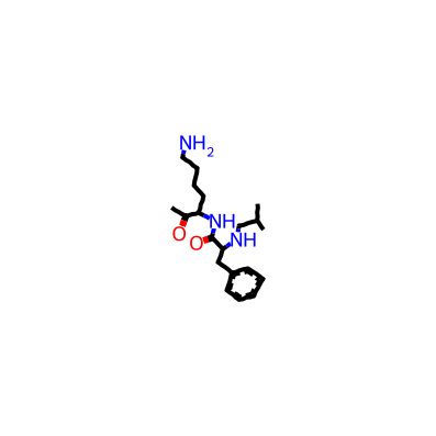 CC(=O)C(CCCCN)NC(=O)C(Cc1ccccc1)NCC(C)C